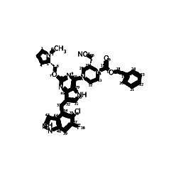 CN1CCC[C@H]1COc1nc(N2CCN(C(=O)OCc3ccccc3)[C@@H](CC#N)C2)c2[nH]cc(Cc3c(Cl)c(F)cc4[nH]ncc34)c2n1